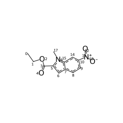 CCOC(=O)c1cc2ccc([N+](=O)[O-])cc2n1C